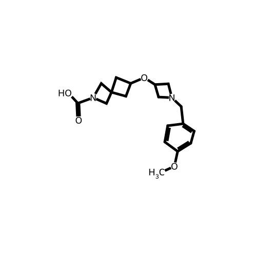 COc1ccc(CN2CC(OC3CC4(C3)CN(C(=O)O)C4)C2)cc1